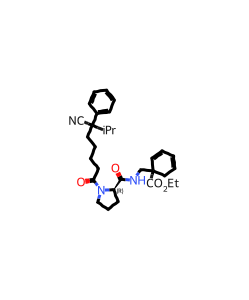 CCOC(=O)C1(CNC(=O)[C@H]2CCCN2C(=O)CCCCC(C#N)(c2ccccc2)C(C)C)C=CC=CC1